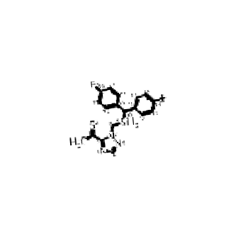 CC(=S)c1ncnn1C[SiH2]C(c1ccc(F)cc1)c1ccc(F)cc1